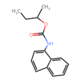 CCC(C)OC(=O)Nc1cccc2ccccc12